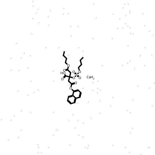 CCCCOC(=O)CC(CC(=O)Oc1cccc2ccccc12)(OS(=O)(=O)OCCCC)C(=O)O.[CaH2]